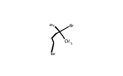 CC(C)C(C)(Br)[CH]Br